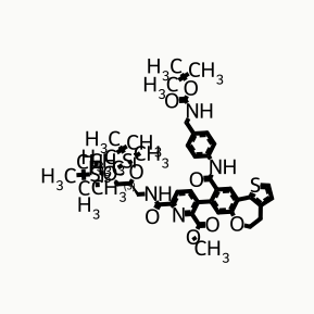 COC(=O)c1nc(C(=O)NC[C@@H](CO[Si](C)(C)C(C)(C)C)O[Si](C)(C)C(C)(C)C)ccc1-c1cc2c(cc1C(=O)Nc1ccc(CNC(=O)OC(C)(C)C)cc1)-c1sccc1CCO2